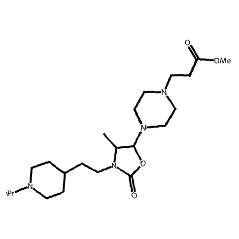 COC(=O)CCN1CCN(C2OC(=O)N(CCC3CCN(C(C)C)CC3)C2C)CC1